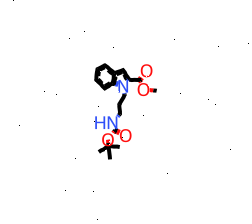 COC(=O)c1cc2ccccc2n1CCCNC(=O)OC(C)(C)C